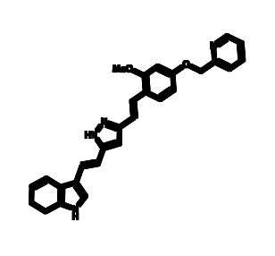 COc1cc(OCc2ccccn2)ccc1/C=C/c1cc(/C=C/c2c[nH]c3c2C=CCC3)[nH]n1